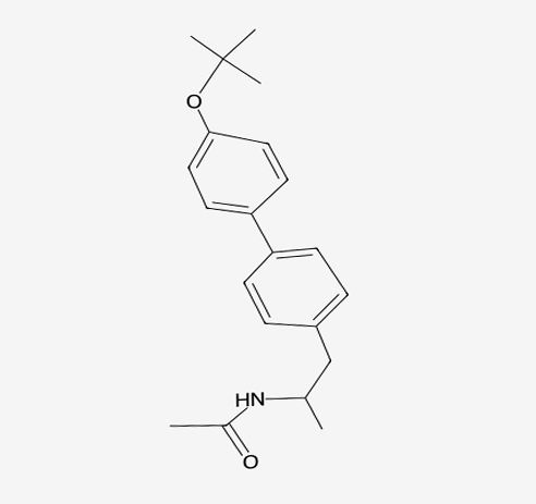 CC(=O)NC(C)Cc1ccc(-c2ccc(OC(C)(C)C)cc2)cc1